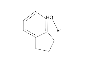 OBr.c1ccc2c(c1)CCC2